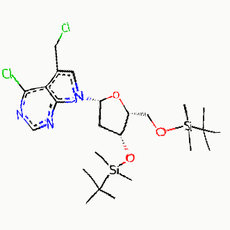 CC(C)(C)[Si](C)(C)OC[C@H]1O[C@@H](n2cc(CCl)c3c(Cl)ncnc32)C[C@H]1O[Si](C)(C)C(C)(C)C